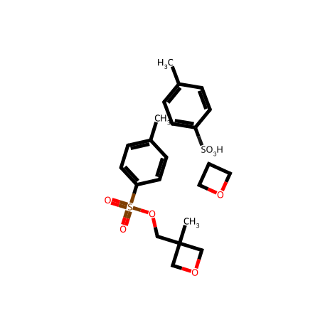 C1COC1.Cc1ccc(S(=O)(=O)O)cc1.Cc1ccc(S(=O)(=O)OCC2(C)COC2)cc1